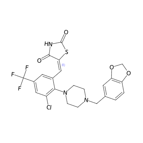 O=C1NC(=O)/C(=C\c2cc(C(F)(F)F)cc(Cl)c2N2CCN(Cc3ccc4c(c3)OCO4)CC2)S1